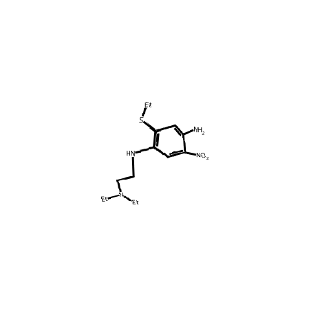 CCSc1cc(N)c([N+](=O)[O-])cc1NCCN(CC)CC